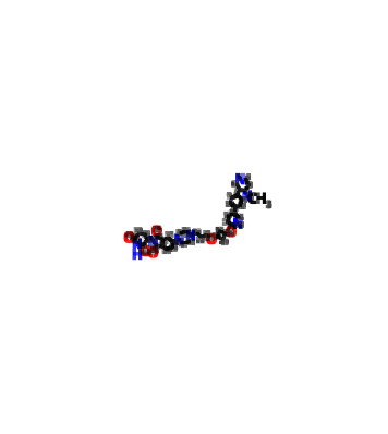 Cn1c2ccncc2c2ccc(-c3ccc(O[C@H]4C[C@H](OCCCN5CCN(c6ccc7c(c6)C(=O)N(C6CCC(=O)NC6=O)C7=O)CC5)C4)nc3)cc21